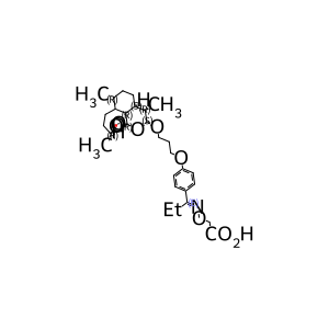 CC/C(=N\OCC(=O)O)c1ccc(OCCCO[C@H]2O[C@@H]3O[C@@]4(C)CCC5[C@H](C)CC[C@@H]([C@H]2C)[C@]53OO4)cc1